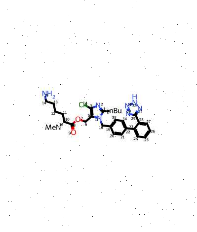 CCCCc1nc(Cl)c(COC(=O)[C@@H](CCCCN)NC)n1Cc1ccc(-c2ccccc2-c2nn[nH]n2)cc1